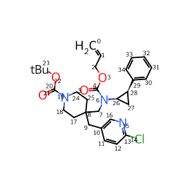 C=CCOC(=O)N(CC1(Cc2ccc(Cl)nc2)CCN(C(=O)OC(C)(C)C)CC1)[C@@H]1C[C@@H]1c1ccccc1